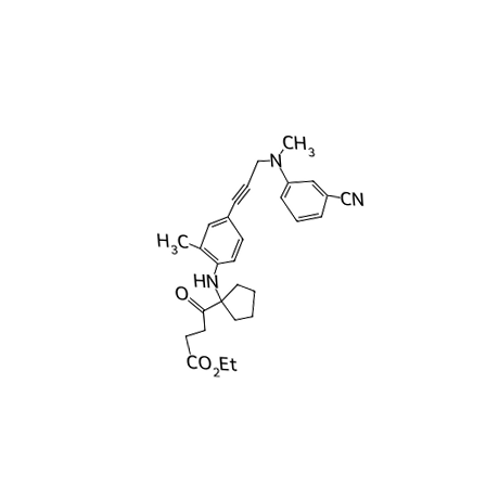 CCOC(=O)CCC(=O)C1(Nc2ccc(C#CCN(C)c3cccc(C#N)c3)cc2C)CCCC1